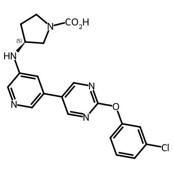 O=C(O)N1CC[C@H](Nc2cncc(-c3cnc(Oc4cccc(Cl)c4)nc3)c2)C1